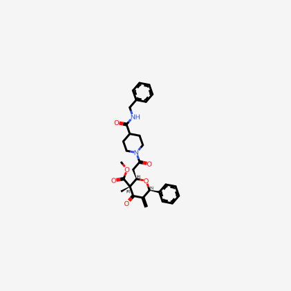 C=C1C(=O)[C@](C)(C(=O)OC)[C@@H](CC(=O)N2CCC(C(=O)NCc3ccccc3)CC2)O[C@H]1c1ccccc1